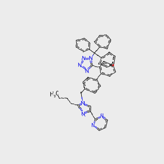 CCCCc1nc(-c2ncccn2)cn1Cc1ccc(-c2ccccc2-c2nnnn2C(c2ccccc2)(c2ccccc2)c2ccccc2)cc1